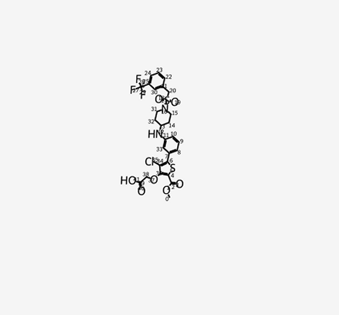 COC(=O)c1sc(-c2cccc(NC3CCN(S(=O)(=O)Cc4cccc(C(F)(F)F)c4)CC3)c2)c(Cl)c1OCC(=O)O